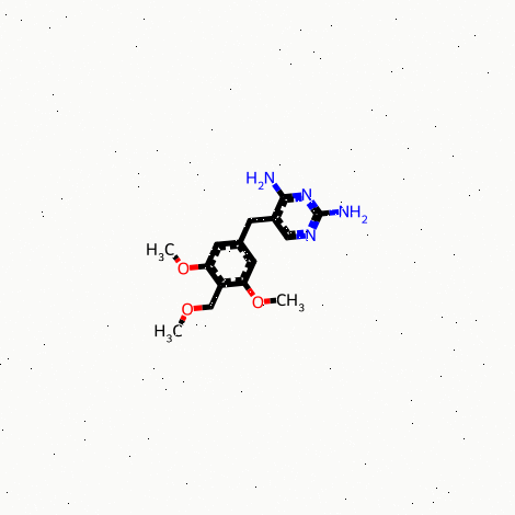 COCc1c(OC)cc(Cc2cnc(N)nc2N)cc1OC